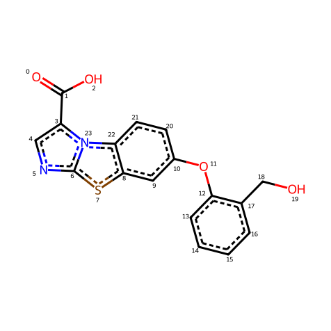 O=C(O)c1cnc2sc3cc(Oc4ccccc4CO)ccc3n12